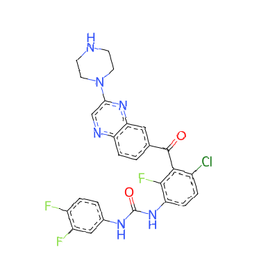 O=C(Nc1ccc(F)c(F)c1)Nc1ccc(Cl)c(C(=O)c2ccc3ncc(N4CCNCC4)nc3c2)c1F